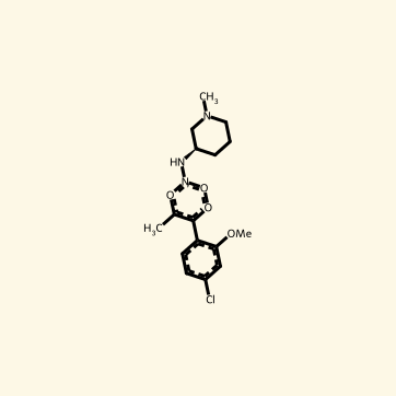 COc1cc(Cl)ccc1-c1oon(N[C@@H]2CCCN(C)C2)oc1C